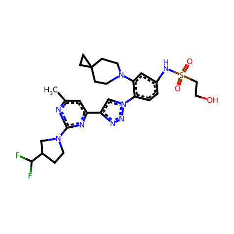 Cc1cc(-c2cn(-c3ccc(NS(=O)(=O)CCO)cc3N3CCC4(CC3)CC4)nn2)nc(N2CCC(C(F)F)C2)n1